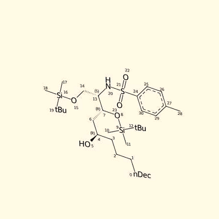 CCCCCCCCCCCCC[C@@H](O)C[C@@H](O[Si](C)(C)C(C)(C)C)[C@H](CO[Si](C)(C)C(C)(C)C)NS(=O)(=O)c1ccc(C)cc1